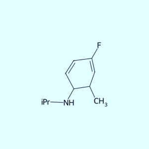 CC(C)NC1C=CC(F)=CC1C